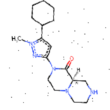 Cn1nc(N2CCN3CCNC[C@@H]3C2=O)cc1C1CCCCC1